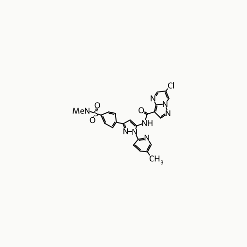 CNS(=O)(=O)c1ccc(-c2cc(NC(=O)c3cnn4cc(Cl)cnc34)n(-c3ccc(C)cn3)n2)cc1